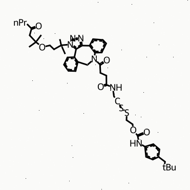 CCCC(=O)CC(C)(C)OCCC(C)(C)n1nnc2c1-c1ccccc1CN(C(=O)CCC(=O)NCCSSCCOC(=O)Nc1ccc(CC(C)(C)C)cc1)c1ccccc1-2